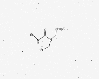 CCCCCCCCN(CC(C)C)C(=O)NCC